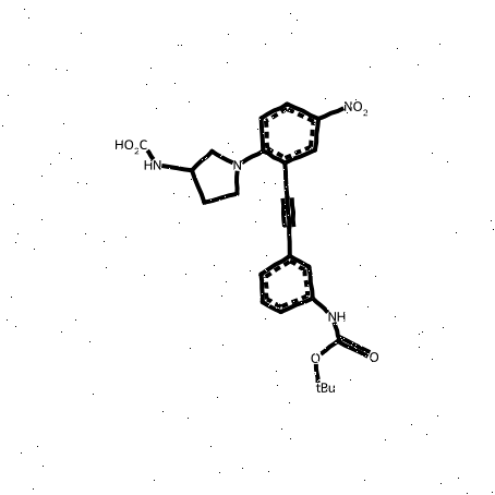 CC(C)(C)OC(=O)Nc1cccc(C#Cc2cc([N+](=O)[O-])ccc2N2CCC(NC(=O)O)C2)c1